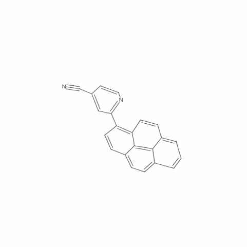 N#Cc1ccnc(-c2ccc3ccc4cccc5ccc2c3c45)c1